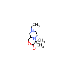 CCN1CCN2C(COC(=O)C2(C)C)C1